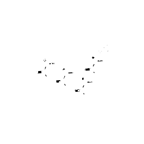 O=S([O-])S(=O)[O-].O=S([O-])S(=O)[O-].O=S([O-])S(=O)[O-].O=S([O-])S(=O)[O-].[Mo+4].[W+4]